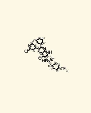 Cc1cc(-c2nc3c(=O)c(N[S+]([O-])Cc4ccc(C(F)(F)F)nc4)c[nH]c3nc2-c2ccccc2)cc(Cl)n1